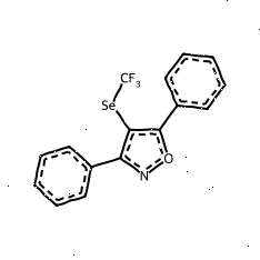 FC(F)(F)[Se]c1c(-c2ccccc2)noc1-c1ccccc1